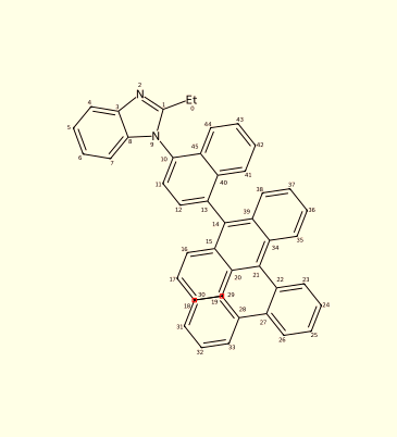 CCc1nc2ccccc2n1-c1ccc(-c2c3ccccc3c(-c3ccccc3-c3ccccc3)c3ccccc23)c2ccccc12